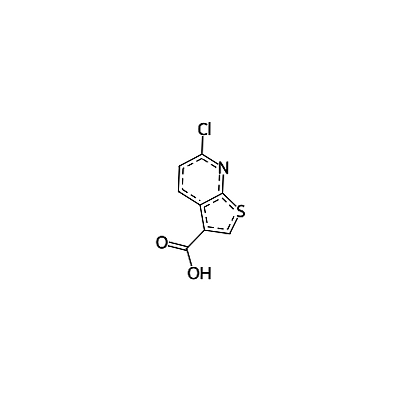 O=C(O)c1csc2nc(Cl)ccc12